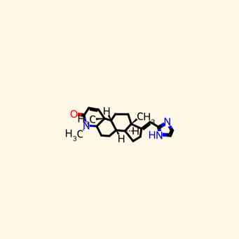 CN1C(=O)C=C[C@@]2(C)C1CC[C@@H]1[C@H]2CC[C@]2(C)C(=Cc3ncc[nH]3)CC[C@@H]12